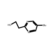 CC(C)(C)c1cnc(CCO)nc1